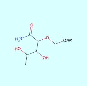 COCOC(C(N)=O)C(O)C(C)O